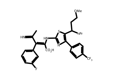 CCCC(CCOC)c1sc(N/C(C(=O)O)=C(\C(C)=N)c2cccc(F)c2)nc1-c1ccc(C(F)(F)F)cc1